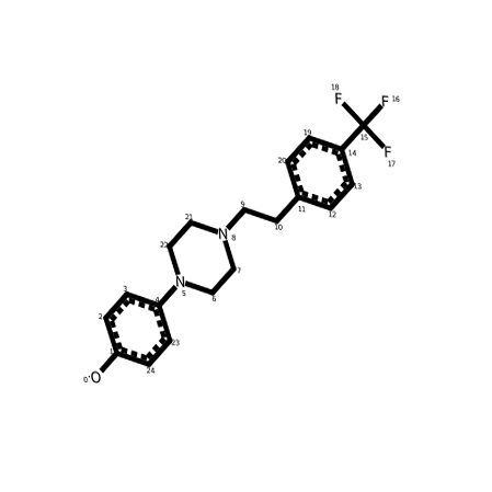 [O]c1ccc(N2CCN(CCc3ccc(C(F)(F)F)cc3)CC2)cc1